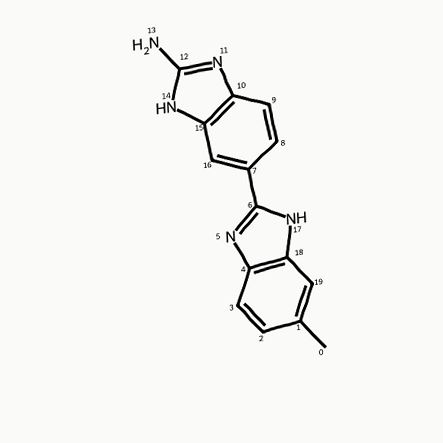 Cc1ccc2nc(-c3ccc4nc(N)[nH]c4c3)[nH]c2c1